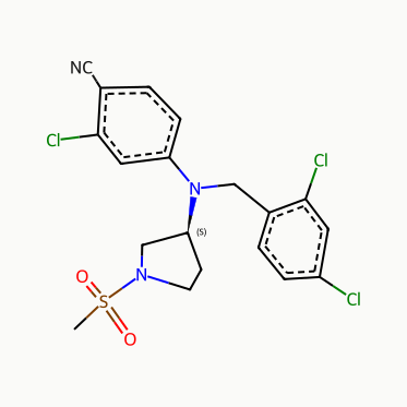 CS(=O)(=O)N1CC[C@H](N(Cc2ccc(Cl)cc2Cl)c2ccc(C#N)c(Cl)c2)C1